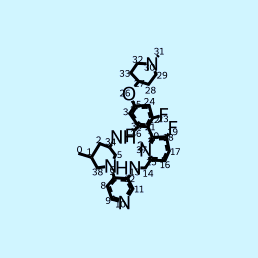 CC1CC(N)CN(c2ccncc2NCc2ccc(F)c(-c3c(F)cc(OC4CCN(C)CC4)cc3F)n2)C1